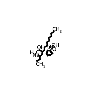 CCCCCCCCCCC(C[CH]([Na])CCC)C(C)O.O=S(=O)(O)c1ccccc1